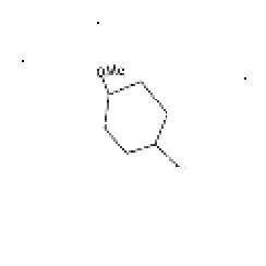 [CH2]C1CCC(OC)CC1